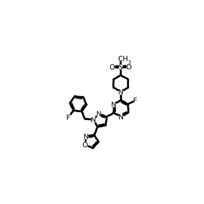 CS(=O)(=O)C1CCN(c2nc(-c3cc(-c4ccon4)n(Cc4ccccc4F)n3)ncc2F)CC1